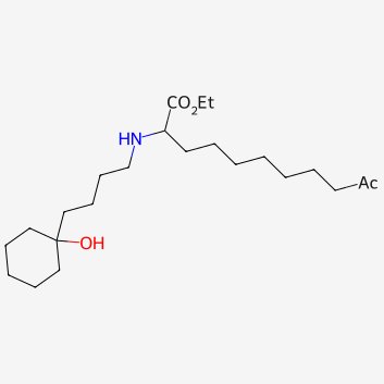 CCOC(=O)C(CCCCCCCC(C)=O)NCCCCC1(O)CCCCC1